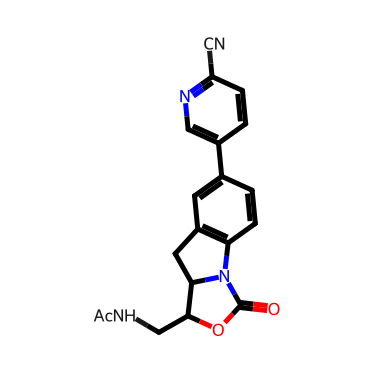 CC(=O)NCC1OC(=O)N2c3ccc(-c4ccc(C#N)nc4)cc3CC12